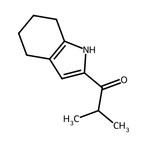 CC(C)C(=O)c1cc2c([nH]1)CCCC2